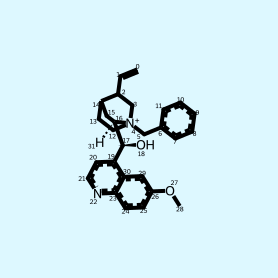 C=CC1C[N+]2(Cc3ccccc3)CCC1C[C@@H]2[C@@H](O)c1ccnc2ccc(OC)cc12